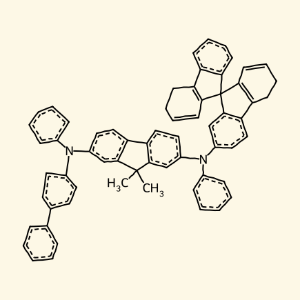 CC1(C)c2cc(N(c3ccccc3)c3ccc(-c4ccccc4)cc3)ccc2-c2ccc(N(c3ccccc3)c3ccc4c(c3)C3(C5=C(CCC=C5)c5ccccc53)C3=C4CCC=C3)cc21